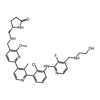 COc1nc(-c2ccnc(-c3cccc(Nc4nccc(CNCCO)c4F)c3Cl)c2C)ccc1CNC[C@H]1CCC(=O)N1